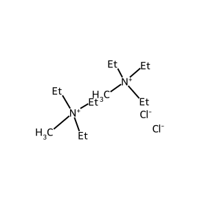 CC[N+](C)(CC)CC.CC[N+](C)(CC)CC.[Cl-].[Cl-]